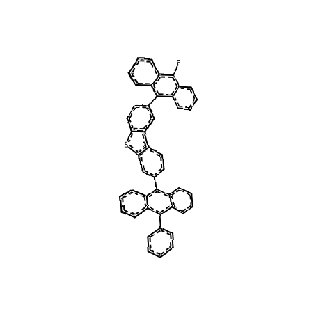 Fc1c2ccccc2c(-c2ccc3sc4cc(-c5c6ccccc6c(-c6ccccc6)c6ccccc56)ccc4c3c2)c2ccccc12